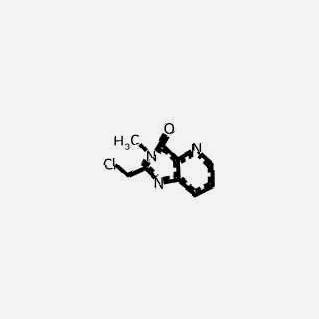 Cn1c(CCl)nc2cccnc2c1=O